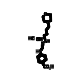 Cl.Cl.O=C(O)c1ccc(NC=NNCCCCN2CCOCC2)cc1